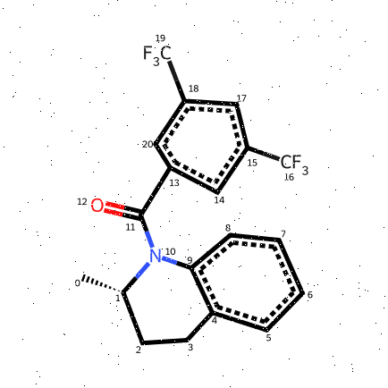 C[C@H]1CCc2ccccc2N1C(=O)c1cc(C(F)(F)F)cc(C(F)(F)F)c1